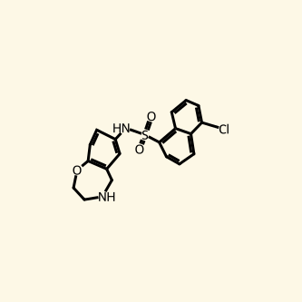 O=S(=O)(Nc1ccc2c(c1)CNCCO2)c1cccc2c(Cl)cccc12